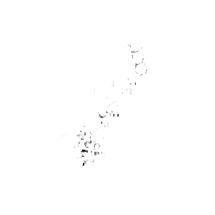 CC1(C)CC(NC(=O)Oc2ccc3ccc(=O)oc3c2)CC(C)(CNC(=O)NCC[Si](C)(O[Si](C)(C)C)O[Si](C)(C)O[Si](C)(C)C)C1